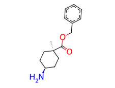 C[C@]1(C(=O)OCc2ccccc2)CC[C@@H](N)CC1